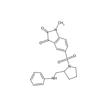 CN1C(=O)C(=O)c2cc(S(=O)(=O)N3CCCC3CNc3ccccc3)ccc21